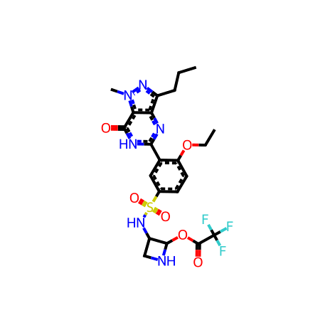 CCCc1nn(C)c2c(=O)[nH]c(-c3cc(S(=O)(=O)NC4CNC4OC(=O)C(F)(F)F)ccc3OCC)nc12